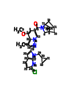 COc1cc(C(=O)N2CC3CC4CC2[C@H]43)cn2nc(-c3cc4ccc(Cl)nc4n3CC3CC3)c(C)c12